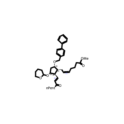 CCCCCC(=O)/C=C/[C@@H]1[C@@H](C/C=C\CCCC(=O)OC)[C@@H](OCc2ccc(-c3ccccc3)cc2)C[C@H]1OC1CCCCO1